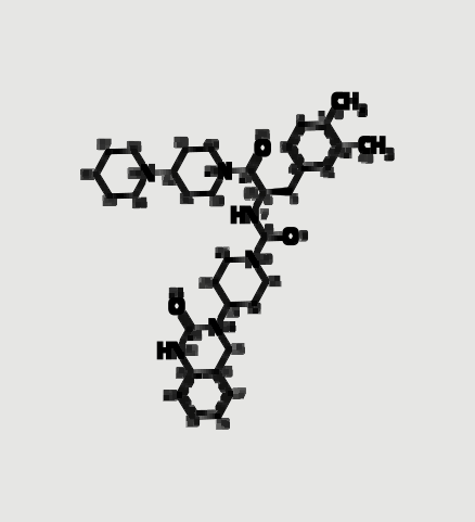 Cc1ccc(C[C@@H](NC(=O)N2CCC(N3Cc4ccccc4NC3=O)CC2)C(=O)N2CCC(N3CCCCC3)CC2)cc1C